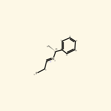 C[C@@H](/N=C/CF)c1ccccc1